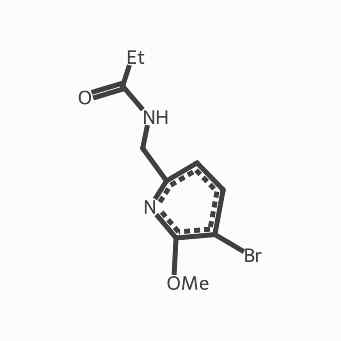 CCC(=O)NCc1ccc(Br)c(OC)n1